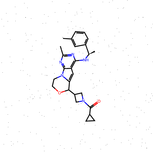 Cc1cccc([C@@H](C)Nc2nc(C)nc3c2cc2n3CCOC2C2CN(C(=O)C3CC3)C2)c1